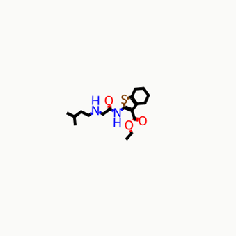 CCOC(=O)c1c(NC(=O)CNCCC(C)C)sc2c1CCCC2